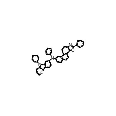 c1ccc(-c2nc3ccc4c5cc(N(c6ccccc6)c6ccc7c8ccccc8n(-c8ccccc8)c7c6)ccc5ccc4c3o2)cc1